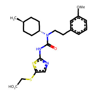 COc1cccc(CCN(C(=O)Nc2ncc(SCC(=O)O)s2)[C@H]2CC[C@H](C)CC2)c1